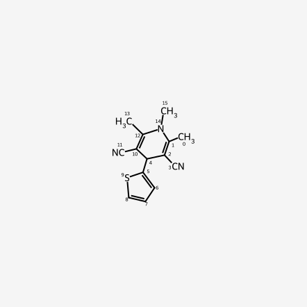 CC1=C(C#N)C(c2cccs2)C(C#N)=C(C)N1C